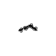 C=CC(=O)OCCSOC(=O)CSCSCC(=O)OSCCOC(=O)C=C